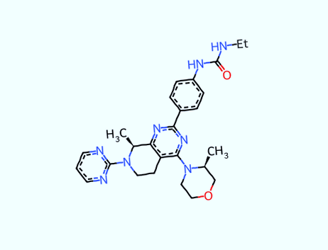 CCNC(=O)Nc1ccc(-c2nc3c(c(N4CCOC[C@@H]4C)n2)CCN(c2ncccn2)[C@H]3C)cc1